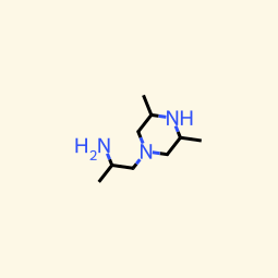 CC(N)CN1CC(C)NC(C)C1